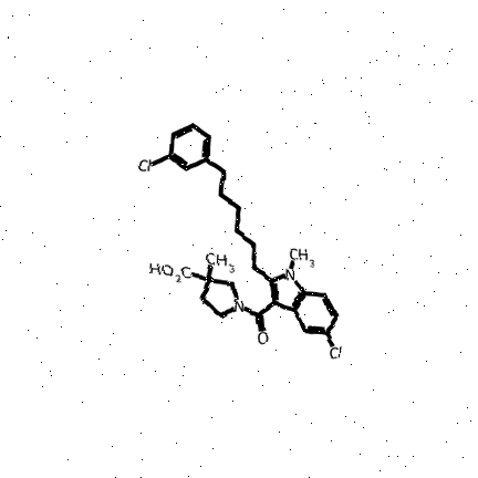 Cn1c(CCCCCCc2cccc(Cl)c2)c(C(=O)N2CCC(C)(C(=O)O)C2)c2cc(Cl)ccc21